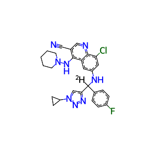 [2H]C(Nc1cc(Cl)c2ncc(C#N)c(NN3CCCCC3)c2c1)(c1ccc(F)cc1)c1cn(C2CC2)nn1